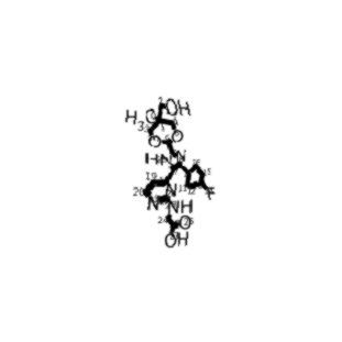 CC1(CO)COC(c2nc(-c3ccc(F)cc3)c(-c3ccnc(NCC(=O)O)n3)[nH]2)OC1